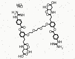 Cl.Cl.N=C(N)Nc1ccc(C(=O)Oc2ccc(CCC(=O)NC(CC(=O)O)C(=O)O)c(OCCOCCOCCOc3cc(OC(=O)c4ccc(NC(=N)N)cc4)ccc3CCC(=O)NC(CC(=O)O)C(=O)O)c2)cc1